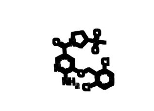 CS(=O)(=O)C1CCN(C(=O)c2cnc(N)c(OCc3c(Cl)cccc3Cl)c2)C1